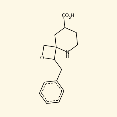 O=C(O)C1CCNC2(COC2Cc2ccccc2)C1